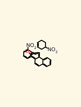 O=C1Cc2cc3c([N+](=O)[O-])ccc1c3c1ccc3ccccc3c21.O=[N+]([O-])C1CC=CCC1